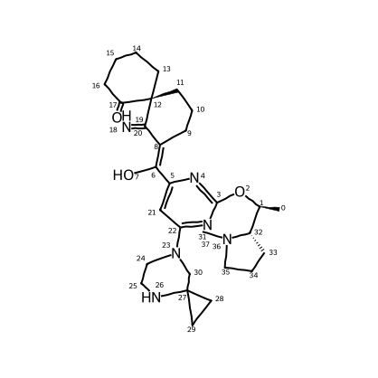 C[C@H](Oc1nc(/C(O)=C2\CCC[C@@]3(CCCCC3=O)C2=N)cc(N2CCNC3(CC3)C2)n1)[C@@H]1CCCN1C